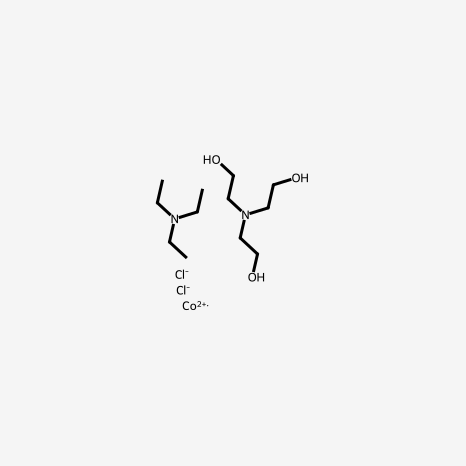 CCN(CC)CC.OCCN(CCO)CCO.[Cl-].[Cl-].[Co+2]